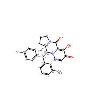 O=C1c2c(O)c(=O)cnn2[C@@H]([C@@H](c2ccc(F)cc2)c2cccc(C(F)(F)F)c2)[C@H]2CCCN12